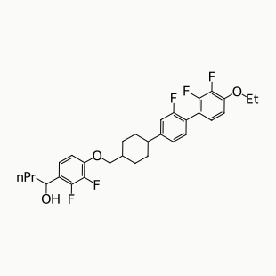 CCCC(O)c1ccc(OCC2CCC(c3ccc(-c4ccc(OCC)c(F)c4F)c(F)c3)CC2)c(F)c1F